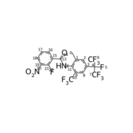 Cc1cc(C(F)(C(F)(F)F)C(F)(F)F)cc(C(F)(F)F)c1NC(=O)c1cccc([N+](=O)[O-])c1F